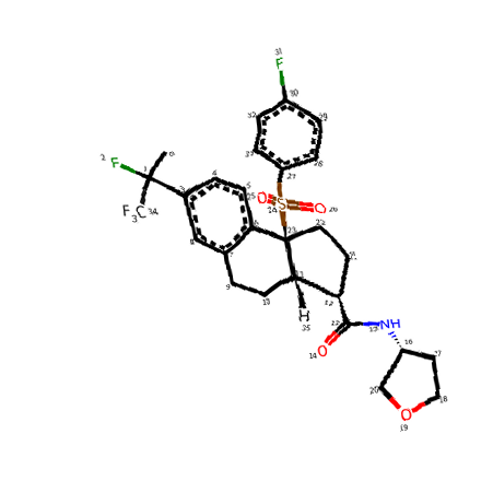 CC(F)(c1ccc2c(c1)CC[C@H]1[C@H](C(=O)N[C@@H]3CCOC3)CC[C@@]21S(=O)(=O)c1ccc(F)cc1)C(F)(F)F